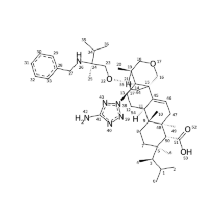 CC(C)[C@@H](C)[C@@]1(C)CC[C@]2(C)[C@H]3CC[C@@H]4[C@@]5(COC[C@@]4(C)[C@@H](OC[C@@](C)(NCc4ccccc4)C(C)C)[C@H](n4nnc(N)n4)C5)C3=CC[C@@]2(C)[C@@H]1C(=O)O